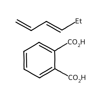 C=CC=CCC.O=C(O)c1ccccc1C(=O)O